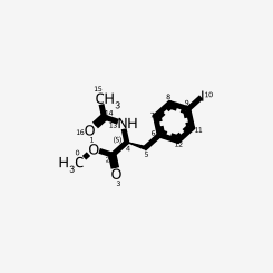 COC(=O)[C@H](Cc1ccc(I)cc1)NC(C)=O